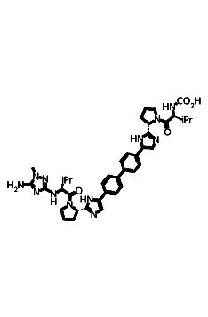 CC(C)[C@H](NC(=O)O)C(=O)N1CCC[C@H]1c1ncc(-c2ccc(-c3ccc(-c4cnc([C@@H]5CCCN5C(=O)[C@@H](Nc5nc(N)n(C)n5)C(C)C)[nH]4)cc3)cc2)[nH]1